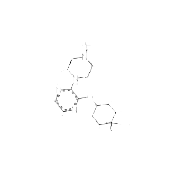 [2H]N1CCN(c2nccnc2OC2CCC(F)(F)CC2)CC1